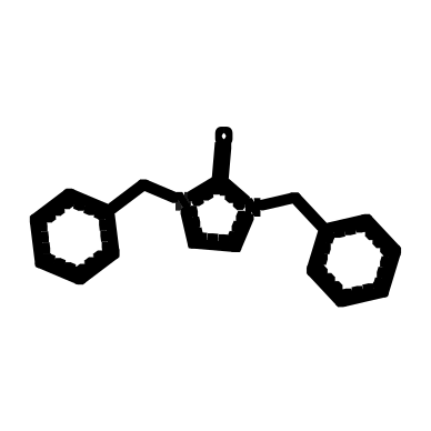 O=c1n(Cc2ccccc2)ccn1Cc1ccccc1